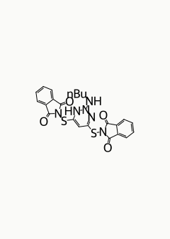 CCCCNN1N=C(SN2C(=O)c3ccccc3C2=O)C=C(SN2C(=O)c3ccccc3C2=O)N1